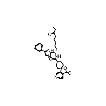 CCC(=O)CCCCC[C@H](NC(=O)C1CCC2(CC1)OC(=O)c1ccncc12)c1ncc(-c2ccccc2)[nH]1